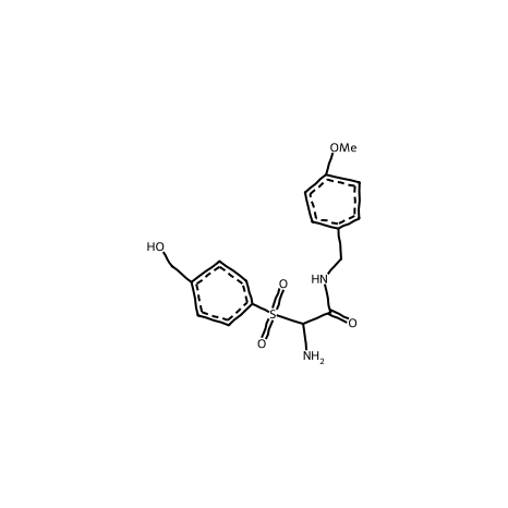 COc1ccc(CNC(=O)C(N)S(=O)(=O)c2ccc(CO)cc2)cc1